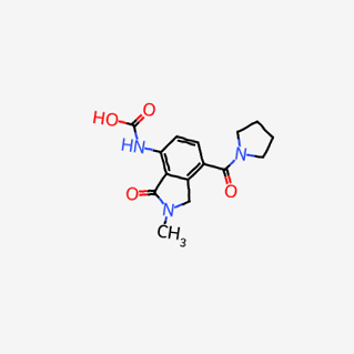 CN1Cc2c(C(=O)N3CCCC3)ccc(NC(=O)O)c2C1=O